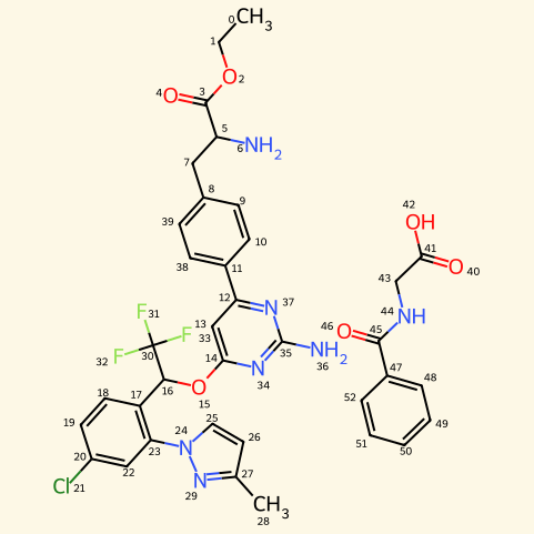 CCOC(=O)C(N)Cc1ccc(-c2cc(OC(c3ccc(Cl)cc3-n3ccc(C)n3)C(F)(F)F)nc(N)n2)cc1.O=C(O)CNC(=O)c1ccccc1